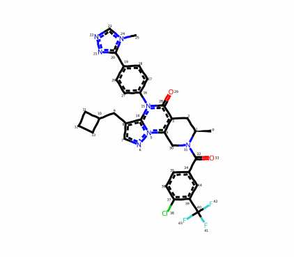 C[C@@H]1Cc2c(n3ncc(CC4CCC4)c3n(-c3ccc(-c4nncn4C)cc3)c2=O)CN1C(=O)c1ccc(Cl)c(C(F)(F)F)c1